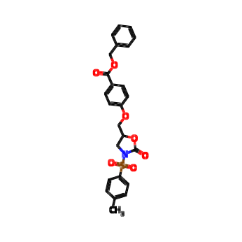 Cc1ccc(S(=O)(=O)N2CC(COc3ccc(C(=O)OCc4ccccc4)cc3)OC2=O)cc1